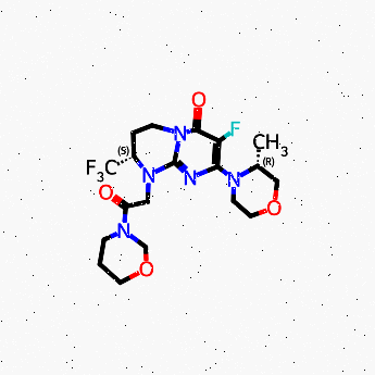 C[C@@H]1COCCN1c1nc2n(c(=O)c1F)CC[C@@H](C(F)(F)F)N2CC(=O)N1CCCOC1